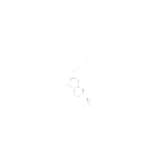 CC(C)(C)/[N+]([O-])=C\c1ccc2nnc(C(=O)NC(CS)C(=O)O)cc2c1